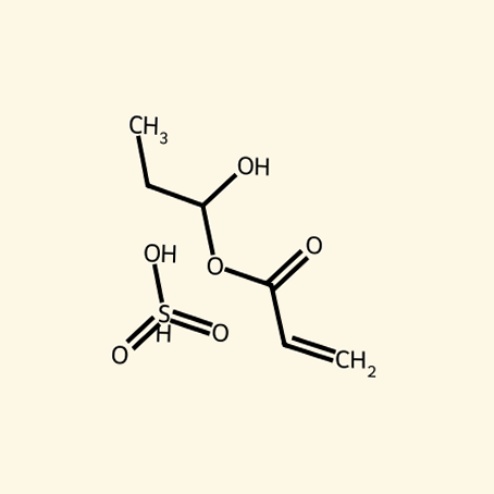 C=CC(=O)OC(O)CC.O=[SH](=O)O